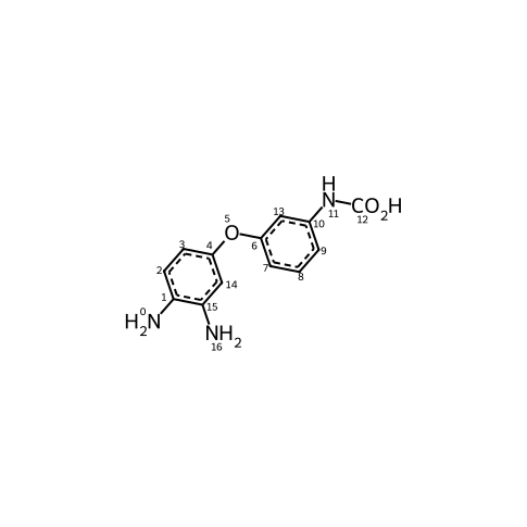 Nc1ccc(Oc2cccc(NC(=O)O)c2)cc1N